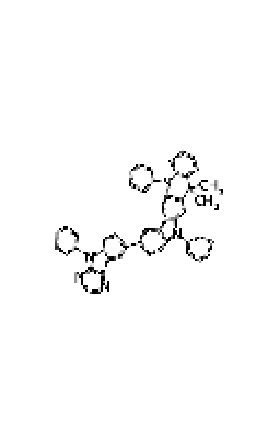 CC1(C)c2ccccc2N(c2ccccc2)c2cc3c4cc(-c5ccc6c(c5)c5nccnc5n6-c5ccccc5)ccc4n(-c4ccccc4)c3cc21